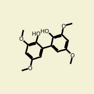 COc1cc(OC)c(O)c(-c2cc(OC)cc(OC)c2O)c1